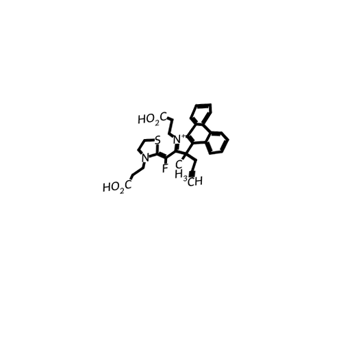 C#CCC1(C)C(/C(F)=C2\SCCN2CCC(=O)O)=[N+](CCC(=O)O)c2c1c1ccccc1c1ccccc21